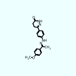 COc1ccc(C(C)=NNc2ccc(C3=NNC(=O)CC3)cc2)cc1